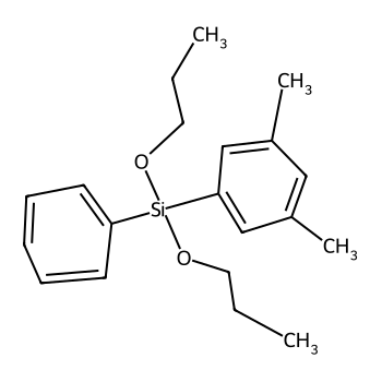 CCCO[Si](OCCC)(c1ccccc1)c1cc(C)cc(C)c1